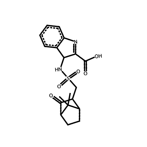 CC1(C)C2CCC1C(CS(=O)(=O)NC1C(C(=O)O)=Nc3ccccc31)C2=O